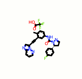 Cc1ccc(NC(=O)N2N=CC[C@@H]2c2ccc(F)cc2)cc1C#Cc1cnc2cccnn12.O=C(O)C(F)(F)F